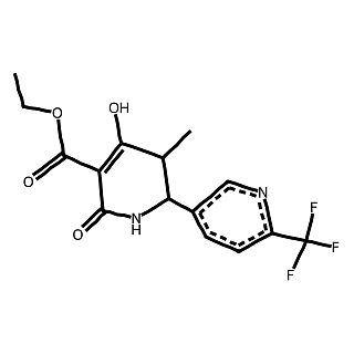 CCOC(=O)C1=C(O)C(C)C(c2ccc(C(F)(F)F)nc2)NC1=O